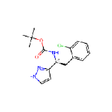 CC(C)(C)OC(=O)N[C@@H](Cc1ccccc1Cl)c1cc[nH]n1